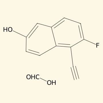 C#Cc1c(F)ccc2cc(O)ccc12.O=CO